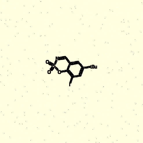 CC(C)(C)c1cc(I)c2c(c1)C=NS(=O)(=O)O2